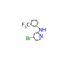 FC(F)(F)c1cccc(Nc2cc(Br)ccn2)c1